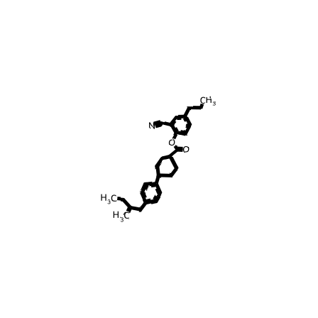 CCCc1ccc(OC(=O)C2CCC(c3ccc(CC(C)CC)cc3)CC2)c(C#N)c1